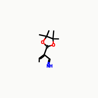 C/C=C(\C=N)B1OC(C)(C)C(C)(C)O1